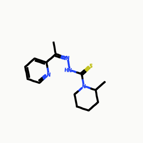 CC(=NNC(=S)N1CCCCC1C)c1ccccn1